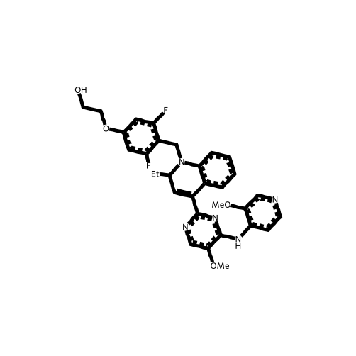 CCC1C=C(c2ncc(OC)c(Nc3ccncc3OC)n2)c2ccccc2N1Cc1c(F)cc(OCCO)cc1F